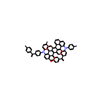 C=C(c1ccc(C)cc1)c1ccc(N(c2ccc(C)cc2)c2ccc3cccc4c3c2c2cccc3c2c4c2cccc4c5c(N(c6ccc(C)cc6)c6ccc(C(=C)c7ccc(C)cc7)cc6)ccc6cccc(c65)c3c42)cc1